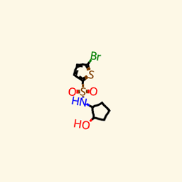 O=S(=O)(NC1CCCC1O)c1ccc(Br)s1